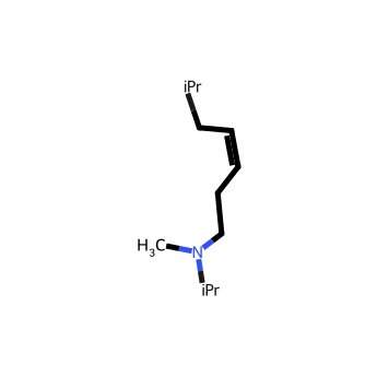 CC(C)C/C=C\CCN(C)C(C)C